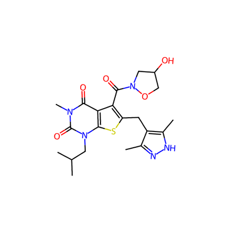 Cc1n[nH]c(C)c1Cc1sc2c(c1C(=O)N1CC(O)CO1)c(=O)n(C)c(=O)n2CC(C)C